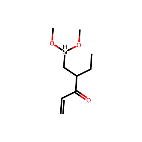 C=CC(=O)C(CC)C[SiH](OC)OC